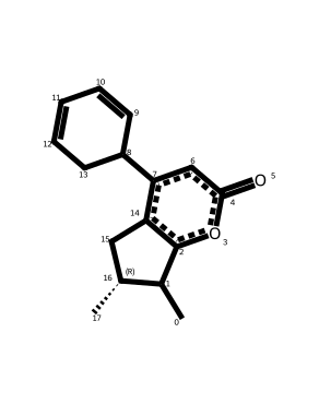 CC1c2oc(=O)cc(C3C=CC=CC3)c2C[C@H]1C